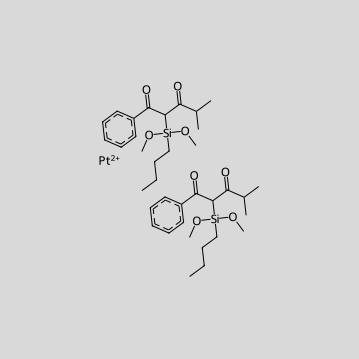 CCCC[Si](OC)(OC)C(C(=O)c1ccccc1)C(=O)C(C)C.CCCC[Si](OC)(OC)C(C(=O)c1ccccc1)C(=O)C(C)C.[Pt+2]